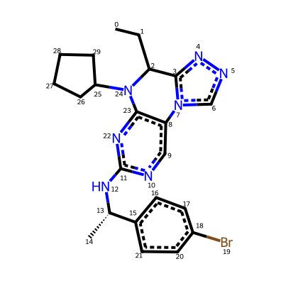 CCC1c2nncn2-c2cnc(N[C@@H](C)c3ccc(Br)cc3)nc2N1C1CCCC1